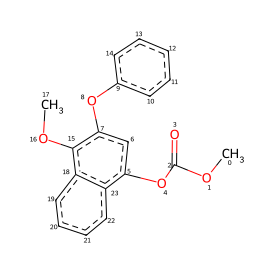 COC(=O)Oc1cc(Oc2ccccc2)c(OC)c2ccccc12